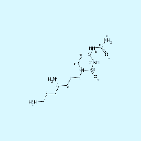 NCCC[C@H](N)CCCN1CCC(NC(N)=O)NC1=O